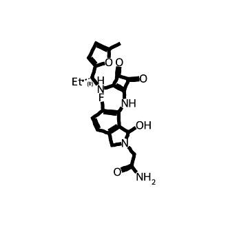 CC[C@@H](Nc1c(Nc2c(F)ccc3c2C(O)N(CC(N)=O)C3)c(=O)c1=O)c1ccc(C)o1